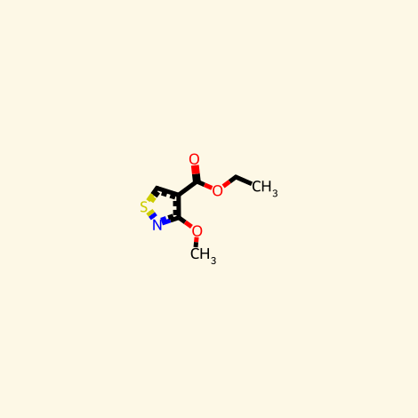 CCOC(=O)c1csnc1OC